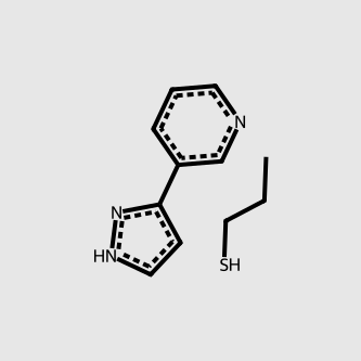 CCCS.c1cncc(-c2cc[nH]n2)c1